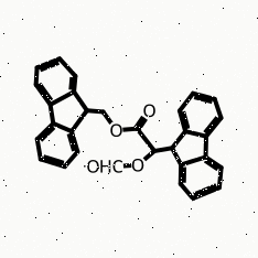 O=[C]OC(C(=O)OCC1c2ccccc2-c2ccccc21)C1c2ccccc2-c2ccccc21